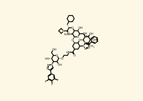 CC(=O)NC1C(O[C@@H](CC2CCCCC2)C(=O)N2CCC2)[C@@H](O)C(CO)O[C@H]1O[C@@H]1CC(C(=O)NCCO[C@H]2OC(CO)[C@@H](O)C(n3cc(-c4cc(F)c(F)c(F)c4)nn3)C2O)CC(n2cc(-c3ccccc3)nn2)C1O[C@@H]1OC(C)[C@@H](O)C(O)C1O